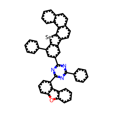 c1ccc(-c2nc(-c3cc(-c4ccccc4)c4[se]c5c(ccc6ccc7ccccc7c65)c4c3)nc(-c3cccc4oc5ccccc5c34)n2)cc1